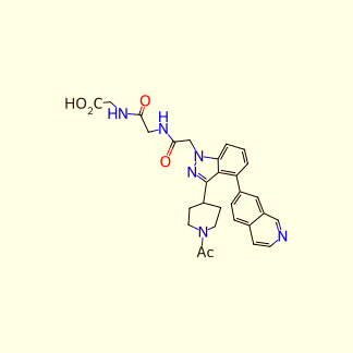 CC(=O)N1CCC(c2nn(CC(=O)NCC(=O)NCC(=O)O)c3cccc(-c4ccc5ccncc5c4)c23)CC1